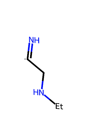 [CH2]CNC[C]=N